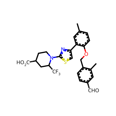 Cc1ccc(OCc2ccc(C=O)cc2C)c(-c2csc(N3CCC(C(=O)O)CC3C(F)(F)F)n2)c1